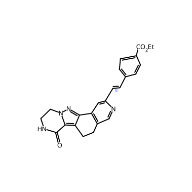 CCOC(=O)c1ccc(/C=C/c2cc3c(cn2)CCc2c-3nn3c2C(=O)NCC3)cc1